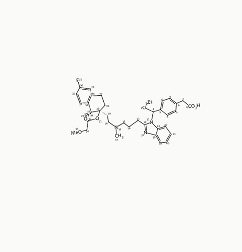 CCOC(c1ccc(CC(=O)O)cc1)n1c(CCCN(C)CC[C@@]2(OC(=O)COC)CCc3cc(F)ccc3[C@@H]2C(C)C)nc2ccccc21